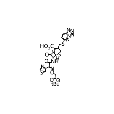 CC(C)(C)OC(=O)CON=C(C(=O)NC1C(=O)N2C(C(=O)O)=C(CSc3ccc4nnnn4n3)CS[C@@H]12)c1cscn1